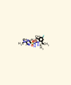 CC(C)c1cc(F)cc(C(C)C)c1NC(=O)NS(=O)(=O)c1cnc(N(C)C)cn1